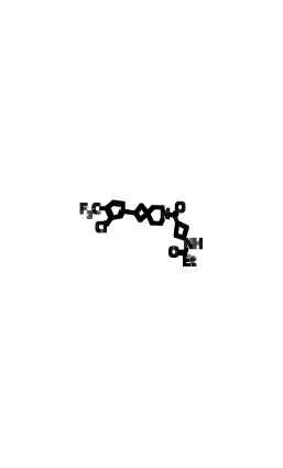 CCC(=O)N[C@H]1C[C@@H](C(=O)N2CCC3(CC2)CC(c2ccc(C(F)(F)F)c(Cl)c2)C3)C1